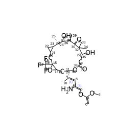 C=C(OC)O/C=C(N)/C=C(\C)[C@@H]1CC2OC2(C(F)(F)F)CC2CC2[C@H](C)[C@H](O)[C@@H](C)C(=O)C(C)(C)[C@@H](O)CC(=O)O1